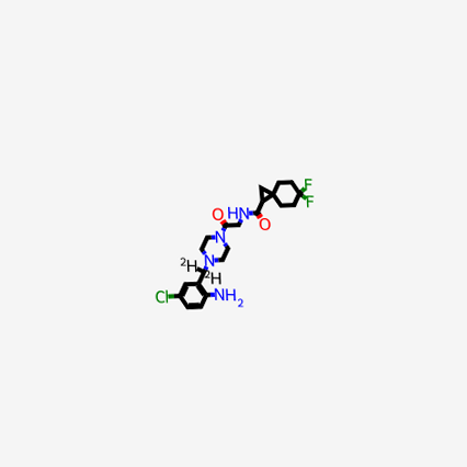 [2H]C([2H])(c1cc(Cl)ccc1N)N1CCN(C(=O)CNC(=O)C2CC23CCC(F)(F)CC3)CC1